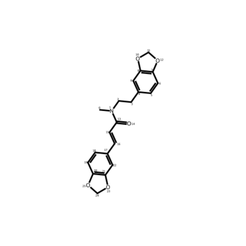 CN(CCc1ccc2c(c1)OCO2)C(=O)C=Cc1ccc2c(c1)OCO2